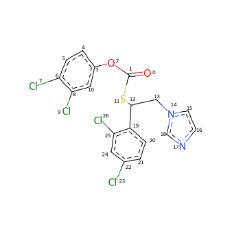 O=C(Oc1ccc(Cl)c(Cl)c1)SC(Cn1ccnc1)c1ccc(Cl)cc1Cl